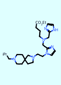 CCOC(=O)CCCN(Cc1ncc[nH]1)Cc1nccn1CCN1CCC2(CCN(CC(C)C)CC2)C1